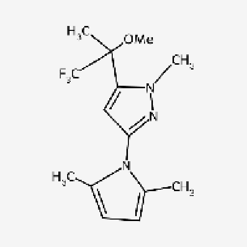 COC(C)(c1cc(-n2c(C)ccc2C)nn1C)C(F)(F)F